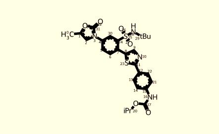 Cc1cn(-c2ccc(-c3cnc(-c4ccc(NC(=O)OC(C)C)cc4)s3)c(S(=O)(=O)NC(C)(C)C)c2)c(=O)o1